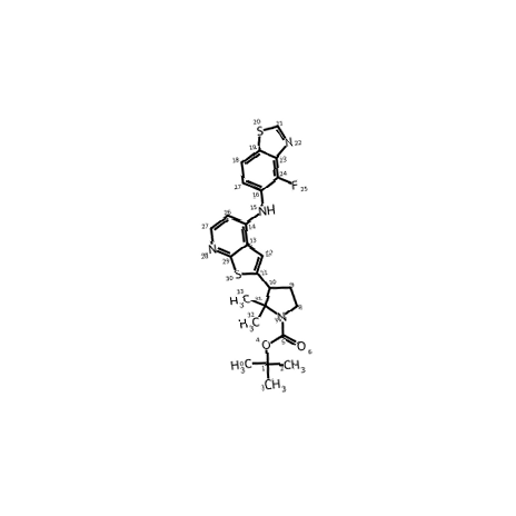 CC(C)(C)OC(=O)N1CCC(c2cc3c(Nc4ccc5scnc5c4F)ccnc3s2)C1(C)C